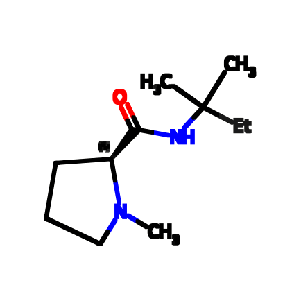 CCC(C)(C)NC(=O)[C@@H]1CCCN1C